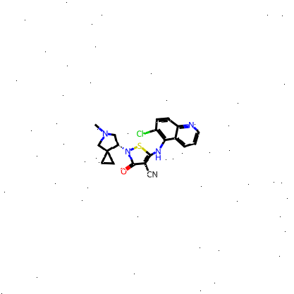 CN1C[C@H](n2sc(Nc3c(Cl)ccc4ncccc34)c(C#N)c2=O)C2(CC2)C1